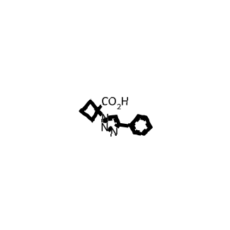 O=C(O)C1(n2cc(-c3ccccc3)nn2)CCC1